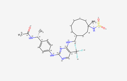 BC1(N[SH](=O)=O)CCCCCC(CNc2nc(Nc3ccc([C@@H](C)NC(C)=O)cc3)ncc2C(F)(F)F)CC1